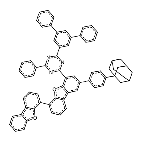 c1ccc(-c2cc(-c3ccccc3)cc(-c3nc(-c4ccccc4)nc(-c4cc(-c5ccc(C67CC8CC(CC(C8)C6)C7)cc5)cc5c4oc4c(-c6cccc7c6oc6ccccc67)cccc45)n3)c2)cc1